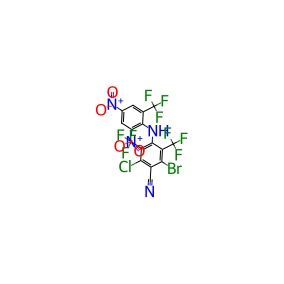 N#Cc1c(Cl)c(C(F)(F)F)c(Nc2c([N+](=O)[O-])cc([N+](=O)[O-])cc2C(F)(F)F)c(C(F)(F)F)c1Br